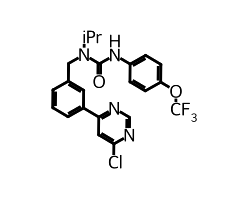 CC(C)N(Cc1cccc(-c2cc(Cl)ncn2)c1)C(=O)Nc1ccc(OC(F)(F)F)cc1